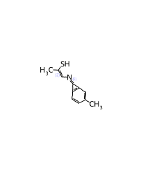 C/C(S)=C/N=c1\c2ccc(C)cc12